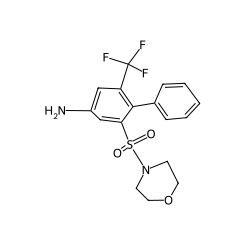 Nc1cc(C(F)(F)F)c(-c2ccccc2)c(S(=O)(=O)N2CCOCC2)c1